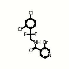 O=C(NCC(F)(F)c1ccc(Cl)cc1Cl)c1ccncc1Br